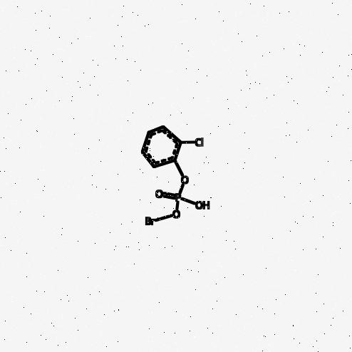 O=P(O)(OBr)Oc1ccccc1Cl